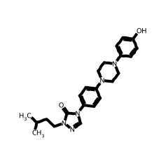 CC(C)CCn1ncn(-c2ccc(N3CCN(c4ccc(O)cc4)CC3)cc2)c1=O